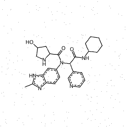 Cc1nc2ccc(N(C(=O)C3CC(O)CN3)C(C(=O)NC3CCCCC3)c3cccnc3)cc2[nH]1